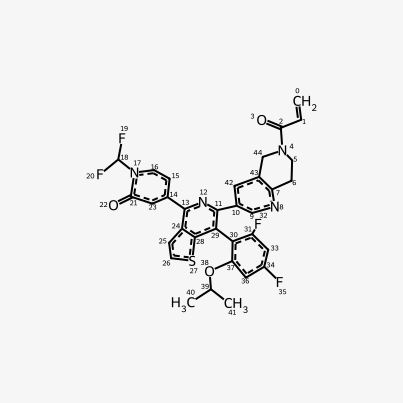 C=CC(=O)N1CCc2ncc(-c3nc(-c4ccn(C(F)F)c(=O)c4)c4ccsc4c3-c3c(F)cc(F)cc3OC(C)C)cc2C1